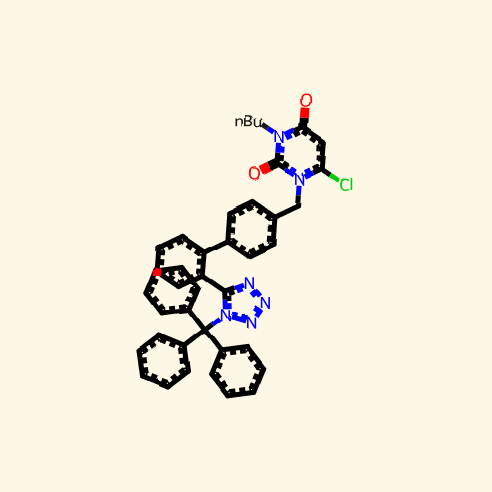 CCCCn1c(=O)cc(Cl)n(Cc2ccc(-c3ccccc3-c3nnnn3C(c3ccccc3)(c3ccccc3)c3ccccc3)cc2)c1=O